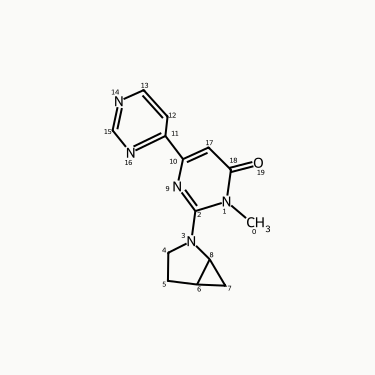 Cn1c(N2CCC3CC32)nc(-c2ccncn2)cc1=O